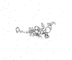 CC[C@]1(O)CC2CN(CCc3c([nH]c4ccccc34)[C@@](C(=O)OC)(c3cc4c(cc3OC)N(C)[C@H]3[C@@](O)(C(=O)NNC(=O)OCCSSc5ccccn5)[C@H](O)[C@]5(CC)C=CCN6CC[C@]43[C@@H]65)C2)C1